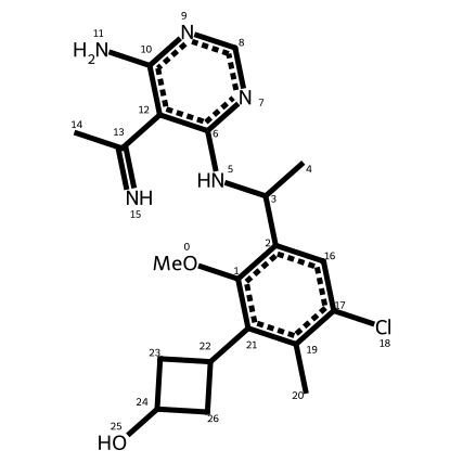 COc1c(C(C)Nc2ncnc(N)c2C(C)=N)cc(Cl)c(C)c1C1CC(O)C1